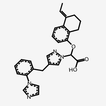 CC=C1CCCc2c(OC(C(=O)O)n3cc(Cc4ccccc4-n4ccnc4)cn3)cccc21